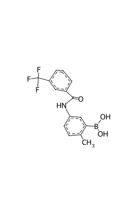 Cc1ccc(NC(=O)c2cccc(C(F)(F)F)c2)cc1B(O)O